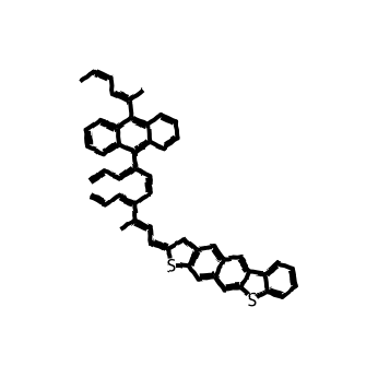 C=C/C=C(/C=C\C(=C\C=C)c1c2ccccc2c(/C(C)=C/C=C\C)c2ccccc12)C(\C)=C\C=C1/Cc2cc3cc4c(cc3cc2S1)sc1ccccc14